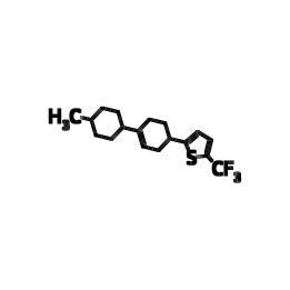 CC1CCC(C2=CCC(c3ccc(C(F)(F)F)s3)CC2)CC1